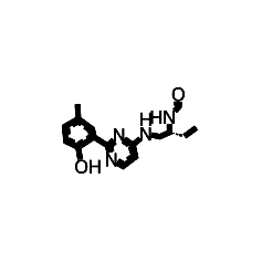 CC[C@H](CNc1ccnc(-c2cc(C)ccc2O)n1)NC=O